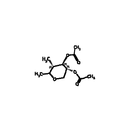 CC(=O)O[C@H]1[C@H](OC(C)=O)COC(C)[C@@H]1C